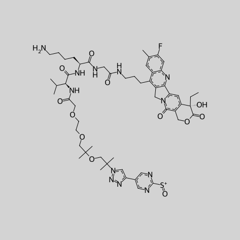 CC[C@@]1(O)C(=O)OCc2c1cc1n(c2=O)Cc2c-1nc1cc(F)c(C)cc1c2CCCNC(=O)CNC(=O)[C@H](CCCCN)NC(=O)[C@@H](NC(=O)COCCOCC(C)(C)OCC(C)(C)n1cc(-c2cnc([S+]=O)nc2)nn1)C(C)C